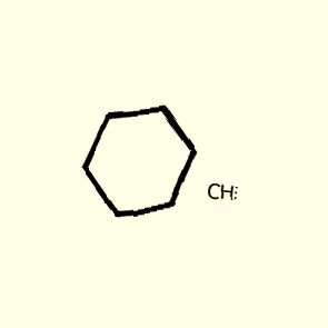 C1CCCCC1.[CH]